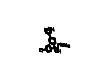 CNCCC(O)(c1ccc(Cl)cc1)c1ccc(-c2cn[nH]c2)cc1